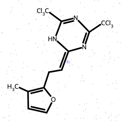 Cc1ccoc1C/C=C1/N=C(C(Cl)(Cl)Cl)N=C(C(Cl)(Cl)Cl)N1